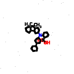 CC1(C)c2ccccc2-c2cc(N(c3ccc(-c4ccccc4)cc3)c3ccccc3B(O)O)ccc21